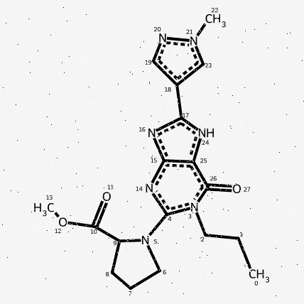 CCCn1c(N2CCCC2C(=O)OC)nc2nc(-c3cnn(C)c3)[nH]c2c1=O